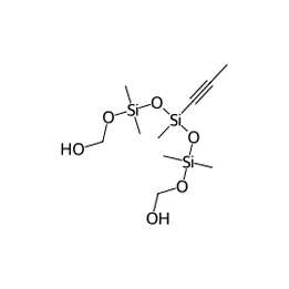 CC#C[Si](C)(O[Si](C)(C)OCO)O[Si](C)(C)OCO